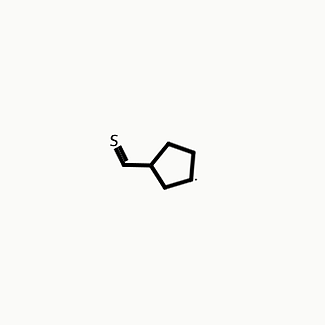 S=CC1C[CH]CC1